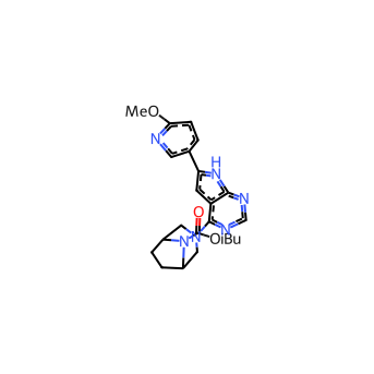 COc1ccc(-c2cc3c(N4CC5CCC(C4)N5C(=O)OCC(C)C)ncnc3[nH]2)cn1